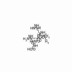 CC(C)C[C@H](NC(=O)[C@@H](N)CCCNC(=N)N)C(=O)N[C@@H](CCCNC(=N)N)C(=O)NCC(=O)NCC(=O)O